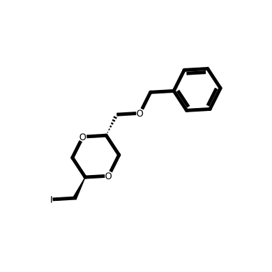 IC[C@H]1CO[C@H](COCc2ccccc2)CO1